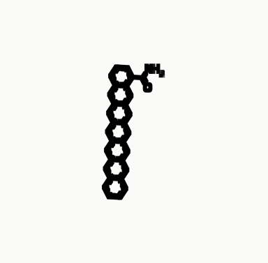 NC(=O)c1cccc2cc3cc4cc5cc6cc7ccccc7cc6cc5cc4cc3cc12